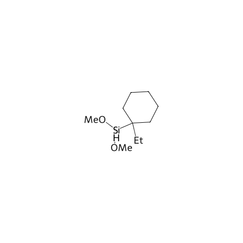 CCC1([SiH](OC)OC)CCCCC1